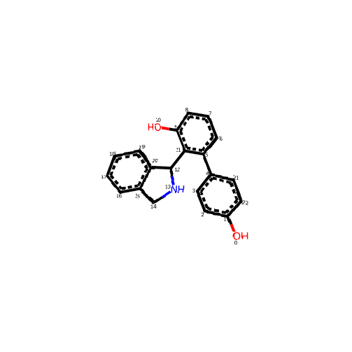 Oc1ccc(-c2cccc(O)c2C2NCc3ccccc32)cc1